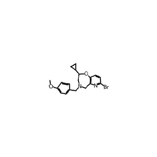 COc1ccc(CN2Cc3nc(Br)ccc3OC(C3CC3)C2)cc1